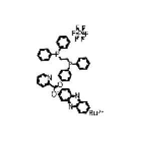 F[P-](F)(F)(F)(F)F.O=C([O-])c1ccccn1.[Ru+2].c1ccc(P(CCP(c2ccccc2)c2ccccc2)c2ccccc2)cc1.c1ccc2nc3ccccc3nc2c1